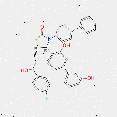 O=C1S[C@H](CCC(O)c2ccc(F)cc2)[C@@H](c2ccc(-c3cccc(O)c3)cc2O)N1c1ccc(-c2ccccc2)cc1